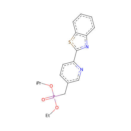 CCOP(=O)(Cc1ccc(-c2nc3ccccc3s2)nc1)OC(C)C